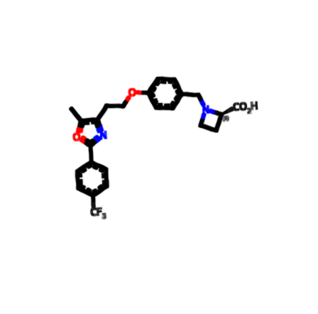 Cc1oc(-c2ccc(C(F)(F)F)cc2)nc1CCOc1ccc(CN2CC[C@@H]2C(=O)O)cc1